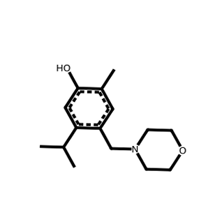 Cc1cc(CN2CCOCC2)c(C(C)C)cc1O